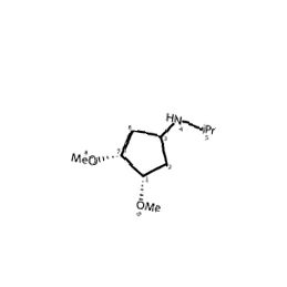 CO[C@H]1CC(NC(C)C)C[C@H]1OC